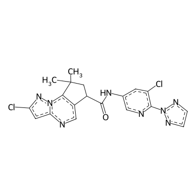 CC1(C)CC(C(=O)Nc2cnc(-n3nccn3)c(Cl)c2)c2cnc3cc(Cl)nn3c21